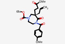 C=CC[C@]1(CCC(=O)OC)CN(C(=O)OC(C)(C)C)CCN(C(=O)c2ccc(OC)cc2)C1=O